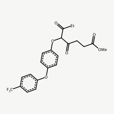 C[CH]C(=O)C(Oc1ccc(Oc2ccc(C(F)(F)F)cc2)cc1)C(=O)CCC(=O)OC